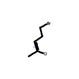 C/C(Cl)=C/CCBr